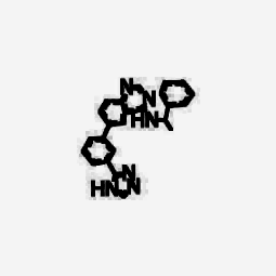 CC(Nc1ncnc2ccc(-c3cccc(-c4nnc[nH]4)c3)cc12)c1ccccc1